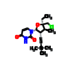 CC[C@@]1(CCl)O[C@@H](n2ccc(=O)[nH]c2=O)[C@@H](C#C[Si](C)(C)C)[C@@H]1C